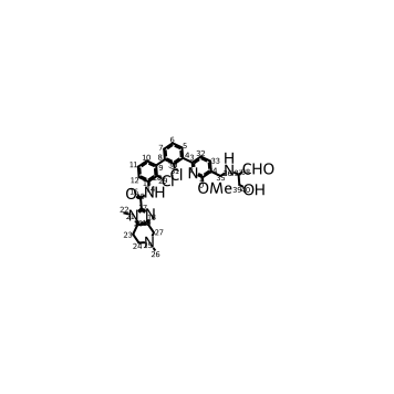 COc1nc(-c2cccc(-c3cccc(NC(=O)c4nc5c(n4C)CCN(C)C5)c3Cl)c2Cl)ccc1CNC(C=O)CO